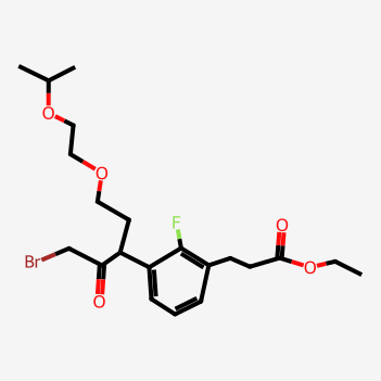 CCOC(=O)CCc1cccc(C(CCOCCOC(C)C)C(=O)CBr)c1F